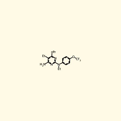 CCCc1nc(N(CC)c2ccc(OC(F)(F)F)cc2)nc(N)c1CC